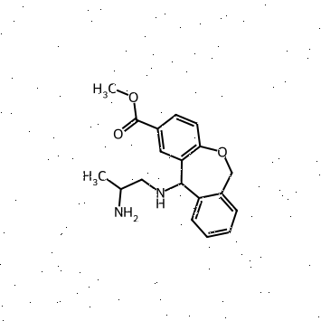 COC(=O)c1ccc2c(c1)C(NCC(C)N)c1ccccc1CO2